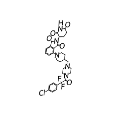 O=C1CCC(N2C(=O)c3cccc(N4CCC(CN5CCN(C(=O)C(F)(F)c6ccc(Cl)cc6)CC5)CC4)c3C2=O)C(=O)N1